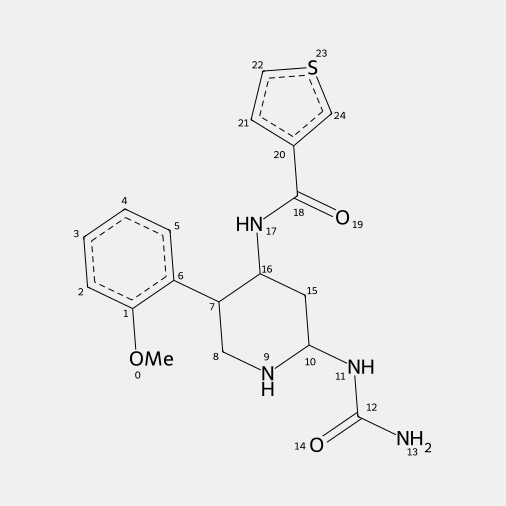 COc1ccccc1C1CNC(NC(N)=O)CC1NC(=O)c1ccsc1